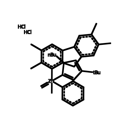 Cl.Cl.[CH2]=[Zr]([CH3])([C]1=CC(C(C)(C)C)=CC1CCCC)([c]1ccccc1)[c]1c(C)c(C)cc2c1Cc1cc(C)c(C)cc1-2